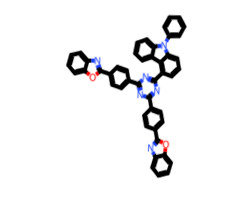 c1ccc(-n2c3ccccc3c3c(-c4nc(-c5ccc(-c6nc7ccccc7o6)cc5)nc(-c5ccc(-c6nc7ccccc7o6)cc5)n4)cccc32)cc1